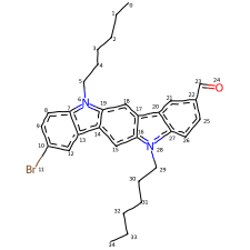 CCCCCCn1c2ccc(Br)cc2c2cc3c(cc21)c1cc(C=O)ccc1n3CCCCCC